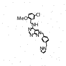 COc1ccc(Cl)cc1CNc1ncnc2nn(Cc3ccc(Cn4cccn4)cc3)cc12